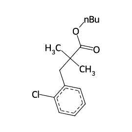 CCCCOC(=O)C(C)(C)Cc1ccccc1Cl